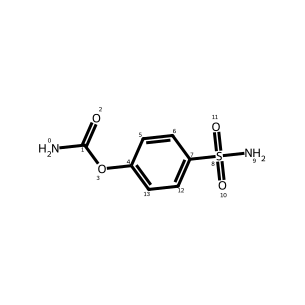 NC(=O)Oc1ccc(S(N)(=O)=O)cc1